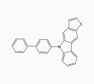 c1ccc(-c2ccc(-n3c4ccccc4c4cc5sccc5cc43)cc2)cc1